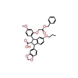 CCCOc1ccc2c(c1)C(c1ccc(OC)cc1OCC(=O)OCc1ccccc1)C(C(=O)O)C2c1ccc2c(c1)OCO2